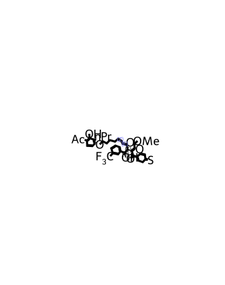 CCCc1c(OCCCC/C=C\C=C\[C@@H](c2c(C(=O)OC)oc3c(c2=O)=CCC(=S)C=3)[C@@H](O)c2cccc(C(F)(F)F)c2)ccc(C(C)=O)c1O